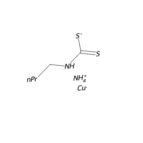 CCCCNC(=S)[S-].[Cu].[NH4+]